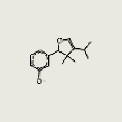 CC(C)C1=COC(c2cccc(O)c2)C1(C)C